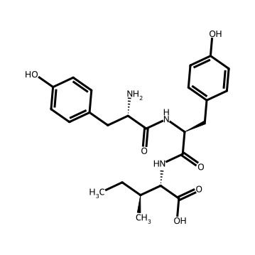 CC[C@H](C)[C@H](NC(=O)[C@H](Cc1ccc(O)cc1)NC(=O)[C@@H](N)Cc1ccc(O)cc1)C(=O)O